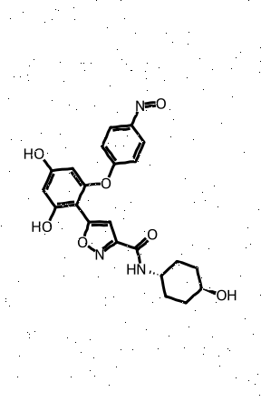 O=Nc1ccc(Oc2cc(O)cc(O)c2-c2cc(C(=O)N[C@H]3CC[C@H](O)CC3)no2)cc1